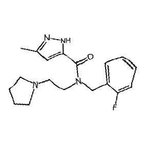 Cc1cc(C(=O)N(CCN2CCCC2)Cc2ccccc2F)[nH]n1